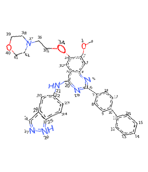 COc1cc2nc(-c3ccc(-c4ccccc4)cc3)nc(Nc3ccc4[nH]ncc4c3)c2cc1OCCN1CCOCC1